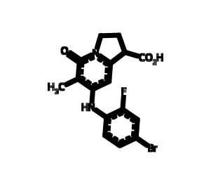 Cc1c(Nc2ccc(Br)cc2F)cc2n(c1=O)CCC2C(=O)O